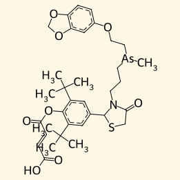 C[As](CCCN1C(=O)CSC1c1cc(C(C)(C)C)c(OC(=O)/C=C/C(=O)O)c(C(C)(C)C)c1)CCOc1ccc2c(c1)OCO2